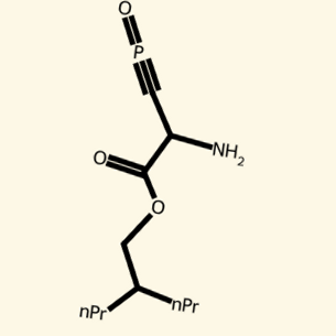 CCCC(CCC)COC(=O)C(N)C#P=O